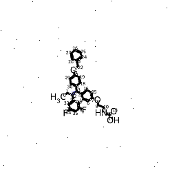 CC/C(=C(/c1ccc(OCCNC(=O)O)cc1)c1ccc(OCc2ccccc2)cc1)c1cc(F)cc(F)c1